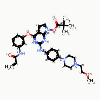 C=CC(=O)Nc1cccc(Oc2nc(Nc3ccc(N4CCN(CCOC)CC4)cc3)nc3c2ccn3OC(=O)C(C)(C)C)c1